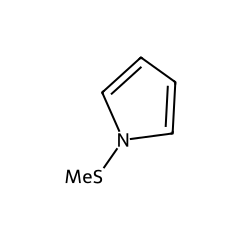 CSn1cccc1